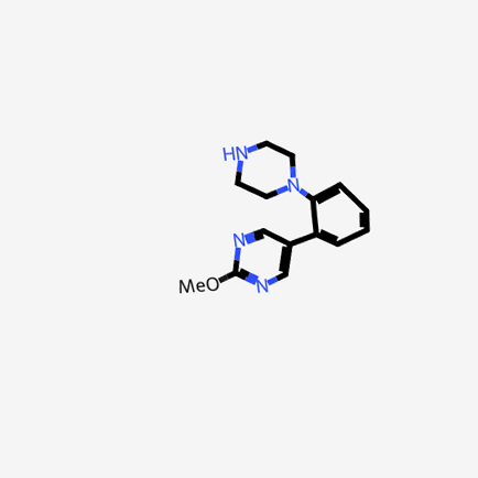 COc1ncc(-c2ccccc2N2CCNCC2)cn1